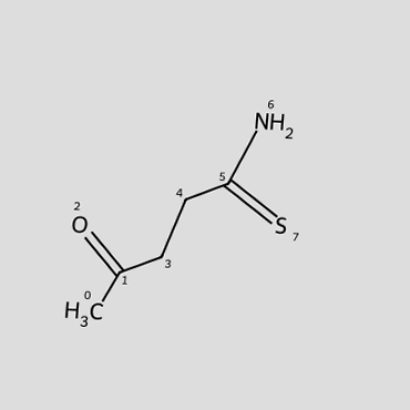 CC(=O)CCC(N)=S